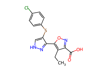 CCc1c(C(=O)O)noc1-c1n[nH]cc1Sc1ccc(Cl)cc1